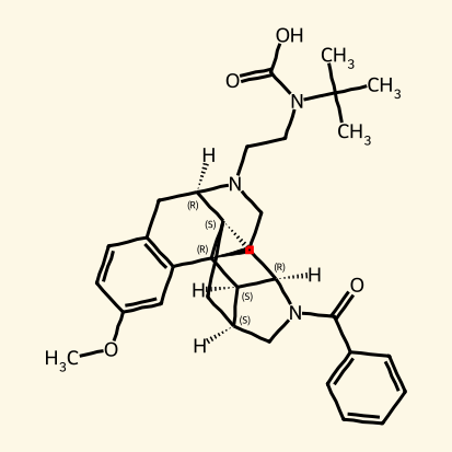 COc1ccc2c(c1)[C@]13CCN(CCN(C(=O)O)C(C)(C)C)[C@H](C2)[C@]12CC[C@@H]1[C@H]3[C@@H](CN1C(=O)c1ccccc1)C2